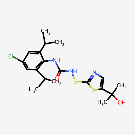 CC(C)c1cc(Cl)cc(C(C)C)c1NC(=O)NSc1ncc(C(C)(C)O)s1